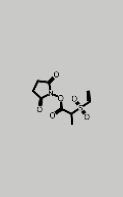 C=CS(=O)(=O)C(C)C(=O)ON1C(=O)CCC1=O